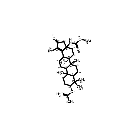 C=C(C)O[C@H]1CCC2(C)C(CCC3(C)C2CCC2C4=C(C(C)C)C(=O)CC4(NC(=O)OC(C)(C)C)CC[C@]23C)C1(C)C